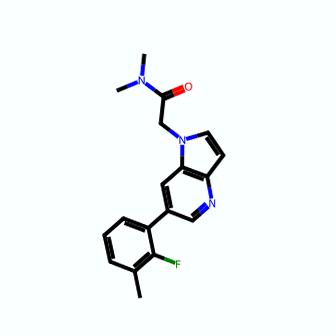 Cc1cccc(-c2cnc3ccn(CC(=O)N(C)C)c3c2)c1F